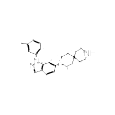 Cc1cccc(-n2ncc3ccc(N4CCC5(CCNCC5)CC4)cc32)c1